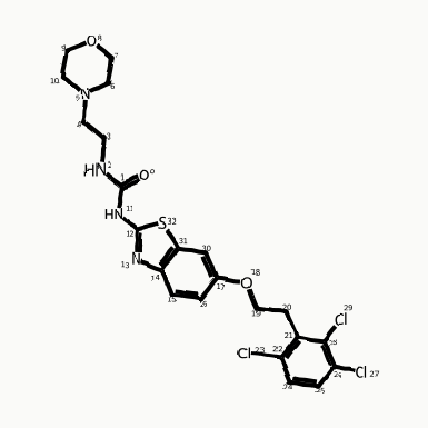 O=C(NCCN1CCOCC1)Nc1nc2ccc(OCCc3c(Cl)ccc(Cl)c3Cl)cc2s1